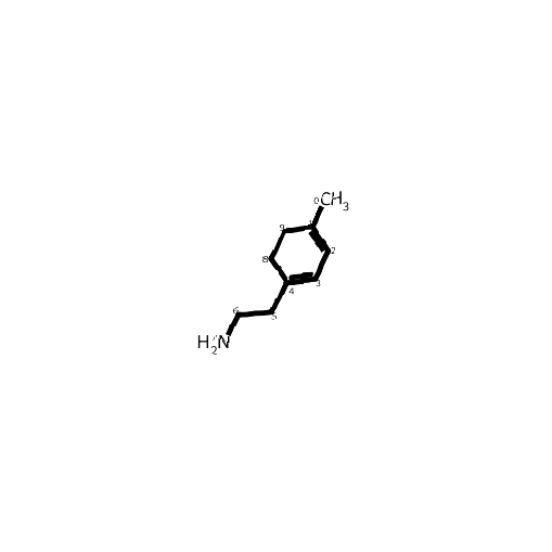 CC1=CC=C(CCN)CC1